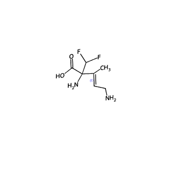 C/C(=C\CN)C(N)(C(=O)O)C(F)F